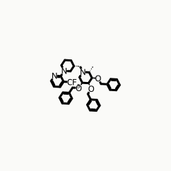 C[C@@H]1[C@@H](OCc2ccccc2)[C@H](OCc2ccccc2)[C@@H](OCc2ccccc2)CN1C[C@H]1CCCN(c2ncccc2C(F)(F)F)C1